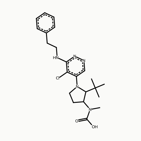 CN(C(=O)O)C1CCN(c2cnnc(NCCc3ccccc3)c2Cl)C1C(C)(C)C